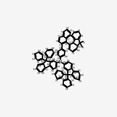 CC1(C)c2ccccc2C2C(c3c(-c4ccc(N(c5ccc6c(c5)C(c5ccccc5)(c5ccccc5)c5ccccc5-6)c5ccc6c(c5)C(c5ccccc5)(c5ccccc5)c5ccccc5-6)cc4)ccc4ccccc34)=CC=CC21